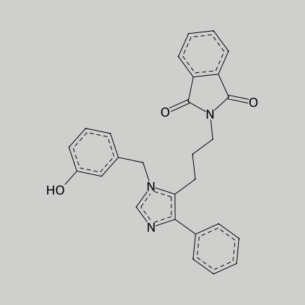 O=C1c2ccccc2C(=O)N1CCCc1c(-c2ccccc2)ncn1Cc1cccc(O)c1